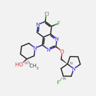 C[C@]1(O)CCCN(c2nc(OC[C@@]34CCCN3C[C@H](F)C4)nc3c(F)c(Cl)ncc23)C1